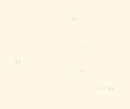 CCOC(=O)COc1ccc(Br)cc1C(=O)CBr